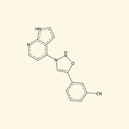 N#Cc1cccc(C2=CN(c3ccnc4[nH]ccc34)NO2)c1